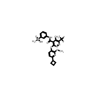 COc1nc(C2CCC2)ccc1Oc1nnc(C(F)(F)F)c(C)c1C(=O)Nc1cccc(S(C)(=N)=O)c1